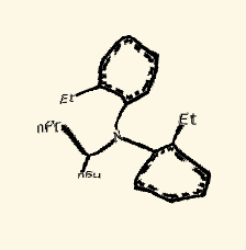 CCCCC(CCC)N(c1ccccc1CC)c1ccccc1CC